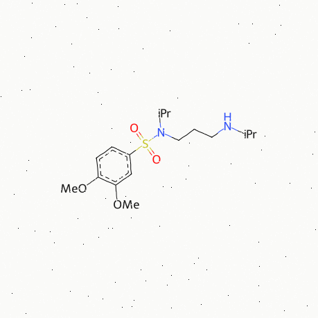 COc1ccc(S(=O)(=O)N(CCCNC(C)C)C(C)C)cc1OC